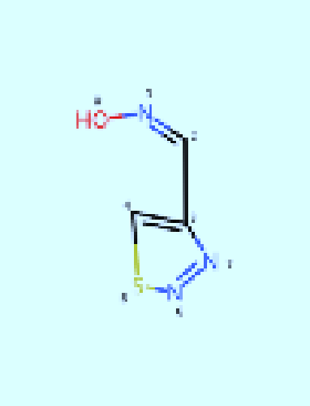 O/N=C\c1csnn1